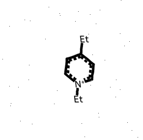 CCc1cc[n+](CC)cc1